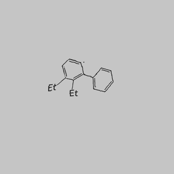 CCc1cc[c]c(-c2ccccc2)c1CC